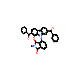 CN1C(=O)c2cccc(-n3c4cc(C(=O)c5ccccc5)ccc4c4ccc(C(=O)c5ccccc5)cc43)c2C1=O